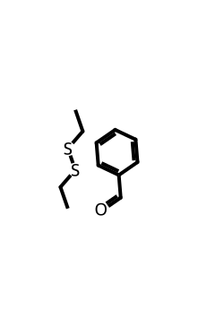 CCSSCC.O=Cc1ccccc1